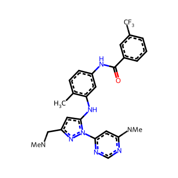 CNCc1cc(Nc2cc(NC(=O)c3cccc(C(F)(F)F)c3)ccc2C)n(-c2cc(NC)ncn2)n1